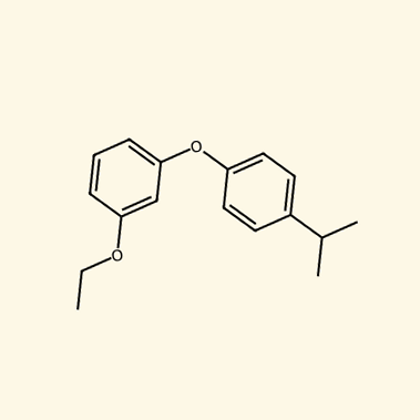 CCOc1cccc(Oc2ccc(C(C)C)cc2)c1